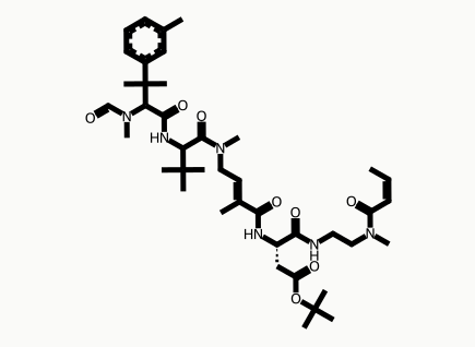 C/C=C\C(=O)N(C)CCNC(=O)[C@H](CC(=O)OC(C)(C)C)NC(=O)/C(C)=C/CN(C)C(=O)C(NC(=O)C(N(C)C=O)C(C)(C)c1cccc(C)c1)C(C)(C)C